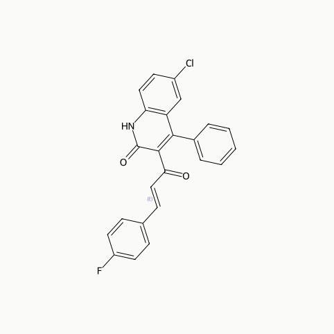 O=C(/C=C/c1ccc(F)cc1)c1c(-c2ccccc2)c2cc(Cl)ccc2[nH]c1=O